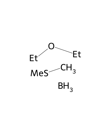 B.CCOCC.CSC